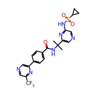 CC(C)(NC(=O)c1ccc(-c2cncc(C(F)(F)F)n2)cc1)c1cncc(NS(=O)(=O)C2CC2)n1